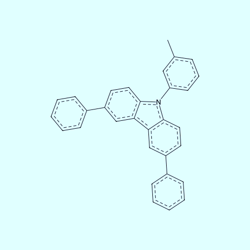 Cc1cccc(-n2c3ccc(-c4ccccc4)cc3c3cc(-c4ccccc4)ccc32)c1